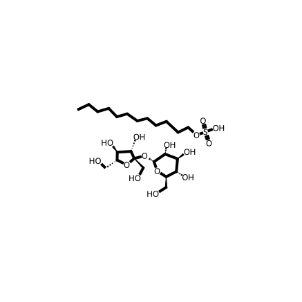 CCCCCCCCCCCCOS(=O)(=O)O.OC[C@H]1O[C@@](CO)(O[C@H]2O[C@H](CO)[C@@H](O)[C@H](O)[C@H]2O)[C@@H](O)[C@@H]1O